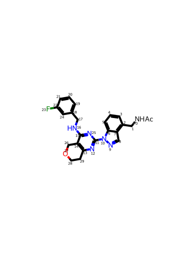 CC(=O)NCc1cccc2c1cnn2-c1nc2c(c(NCc3cccc(F)c3)n1)COCC2